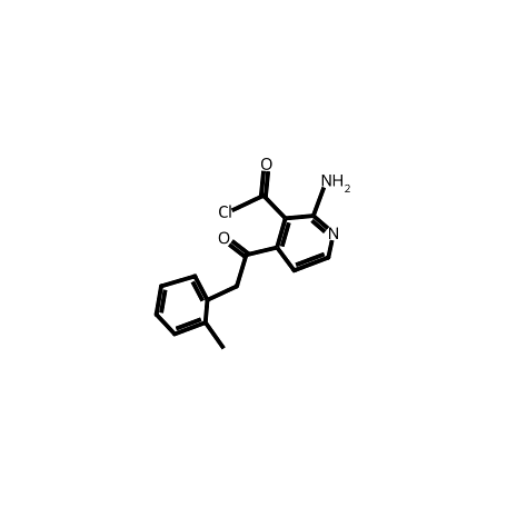 Cc1ccccc1CC(=O)c1ccnc(N)c1C(=O)Cl